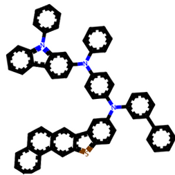 c1ccc(-c2cccc(N(c3ccc(N(c4ccccc4)c4ccc5c6ccccc6n(-c6ccccc6)c5c4)cc3)c3ccc4sc5cc6c(ccc7ccccc76)cc5c4c3)c2)cc1